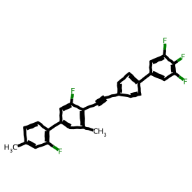 Cc1ccc(-c2cc(C)c(C#Cc3ccc(-c4cc(F)c(F)c(F)c4)cc3)c(F)c2)c(F)c1